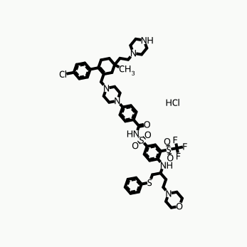 CC1(CCN2CCNCC2)CCC(c2ccc(Cl)cc2)=C(CN2CCN(c3ccc(C(=O)NS(=O)(=O)c4ccc(NC(CCN5CCOCC5)CSc5ccccc5)c(S(=O)(=O)C(F)(F)F)c4)cc3)CC2)C1.Cl